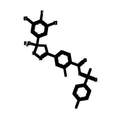 Cc1ccc(S(C)(=O)=NC(=O)c2ccc(C3=NOC(c4cc(Cl)c(F)c(Cl)c4)(C(F)(F)F)C3)cc2C)cc1